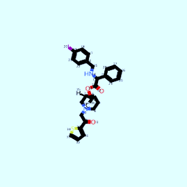 O=C(C[N+]12CCC(CC1)[C@@H](OC(=O)C(NCc1ccc(I)cc1)c1ccccc1)C2)c1cccs1